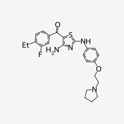 CCc1ccc(C(=O)c2sc(Nc3ccc(OCCN4CCCC4)cc3)nc2N)cc1F